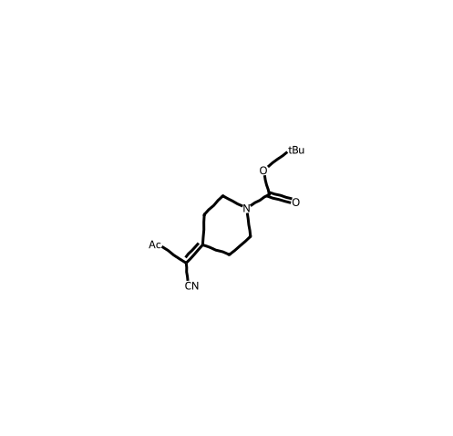 CC(=O)C(C#N)=C1CCN(C(=O)OC(C)(C)C)CC1